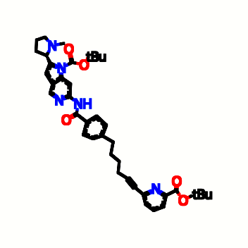 CN1CCC[C@@H]1c1cc2cnc(NC(=O)c3ccc(CCCCC#Cc4cccc(C(=O)OC(C)(C)C)n4)cc3)cc2n1C(=O)OC(C)(C)C